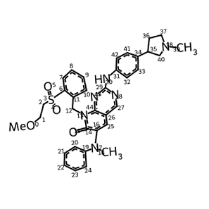 COCCS(=O)(=O)c1ccccc1Cn1c(=O)c(N(C)c2ccccc2)cc2cnc(Nc3ccc(C4CCN(C)C4)cc3)nc21